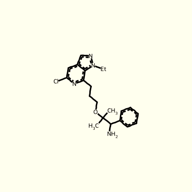 CCn1ncc2cc(Cl)nc(CCCOC(C)(C)C(N)c3ccccc3)c21